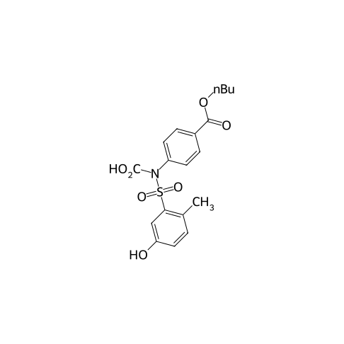 CCCCOC(=O)c1ccc(N(C(=O)O)S(=O)(=O)c2cc(O)ccc2C)cc1